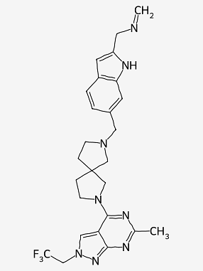 C=NCc1cc2ccc(CN3CCC4(CCN(c5nc(C)nc6nn(CC(F)(F)F)cc56)C4)C3)cc2[nH]1